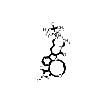 CCOC(=O)c1c(CCCO[Si](C)(C)C(C)(C)C)c2cccc3c2n1C/C=C\COCc1nn(C)c(C)c1-3